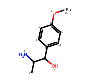 CC(N)C(O)c1ccc(OC(C)(C)C)cc1